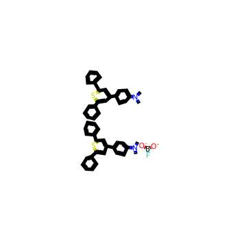 CN(C)c1ccc(-c2cc(-c3ccccc3)[s+]c(-c3ccccc3)c2)cc1.CN(C)c1ccc(-c2cc(-c3ccccc3)[s+]c(-c3ccccc3)c2)cc1.[O-]B([O-])F